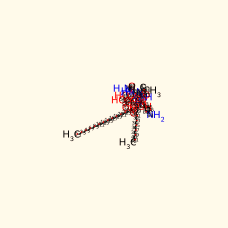 CCCCCCCCCCCCCCCCCCCCCCCCCC(=O)O[C@H](CCCCCCCCCCCCCC)[C@@H](O)[C@H](CO[C@H]1O[C@H](CO)[C@H](O)[C@H](O)[C@H]1O)N(C(=O)OCc1ccc(N)cc1)C(=O)[C@H](CCCNC(N)=O)NC(=O)[C@@H](N)C(C)C